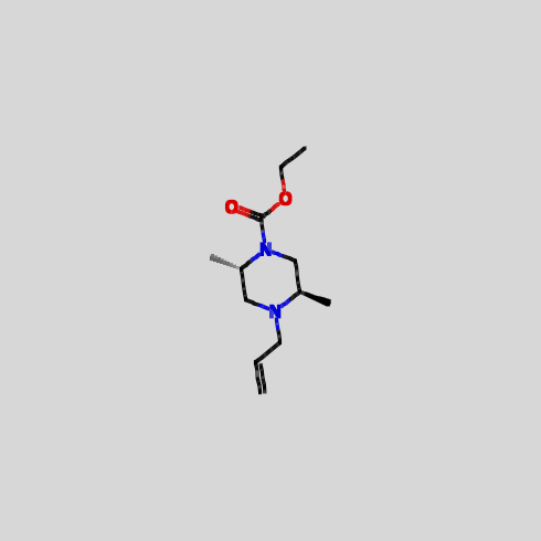 C=CCN1C[C@H](C)N(C(=O)OCC)C[C@H]1C